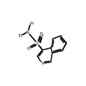 CCN(CC)S(=O)(=O)c1cncc2ccccc12